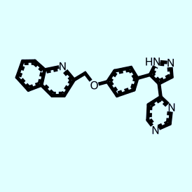 c1ccc2nc(COc3ccc(-c4[nH]ncc4-c4ccncn4)cc3)ccc2c1